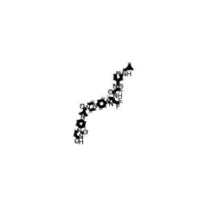 O=C1CCN(c2ccc(N3CC(C(=O)N4CCN(C5CCC(n6cc(NC(=O)c7coc(-c8ccnc(NCC9CC9)c8)n7)c(C(F)F)n6)CC5)CC4)C3)cc2)C(=O)N1